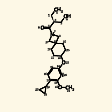 CC[C@H](CO)C(=O)N1CC2(CCC(Oc3ccc(C4CC4)c(OC)n3)CC2)C1